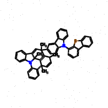 CC1C=CC2(C)C3=C1C(C)(c1ccc4c(c1)c1ccccc1n4-c1cccc4c1sc1ccccc14)C=C1c4ccccc4N(c4ccccc42)C13C